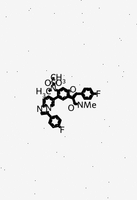 CNC(=O)c1c(-c2ccc(F)cc2)oc2cc(N(C)S(C)(=O)=O)c(-c3ccc4ncc(-c5ccc(F)cc5)n4c3)cc12